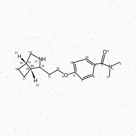 CN(C)C(=O)c1ccc(OCCC2NC[C@H]3CC[C@@H]23)cc1